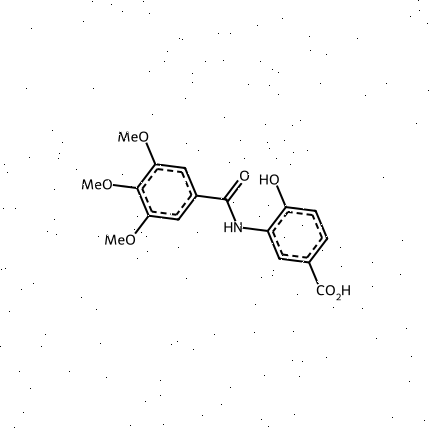 COc1cc(C(=O)Nc2cc(C(=O)O)ccc2O)cc(OC)c1OC